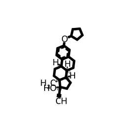 C#C[C@@]1(O)CC[C@H]2[C@@H]3CCc4cc(OC5CCCC5)ccc4[C@H]3CC[C@@]21C